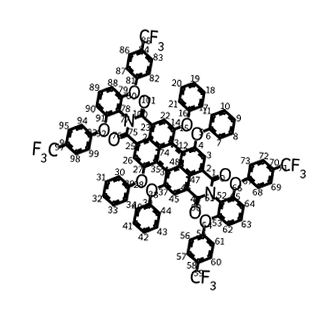 O=C1c2cc(Oc3ccccc3)c3c4c(Oc5ccccc5)cc5c6c(cc(Oc7ccccc7)c(c7c(Oc8ccccc8)cc(c2c37)C(=O)N1c1c(Oc2ccc(C(F)(F)F)cc2)cccc1Oc1ccc(C(F)(F)F)cc1)c64)C(=O)N(c1c(Oc2ccc(C(F)(F)F)cc2)cccc1Oc1ccc(C(F)(F)F)cc1)C5=O